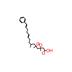 CC(CC/C=C/CC/C=C/c1ccccc1)CC1(C)CC(C)(CC(=O)O)OO1